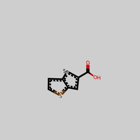 O=C(O)c1cc2sccc2[se]1